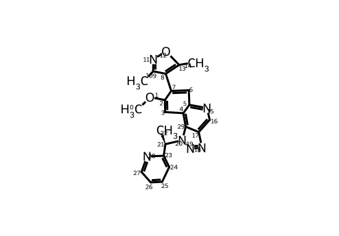 COc1cc2c(cc1-c1c(C)noc1C)ncc1nnn([C@H](C)c3ccccn3)c12